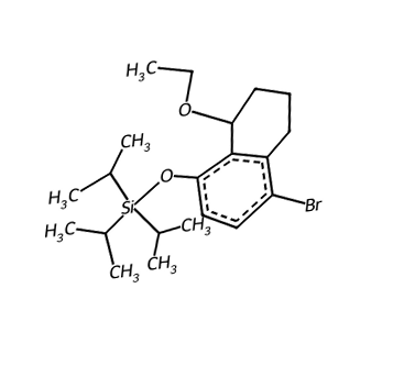 CCOC1CCCc2c(Br)ccc(O[Si](C(C)C)(C(C)C)C(C)C)c21